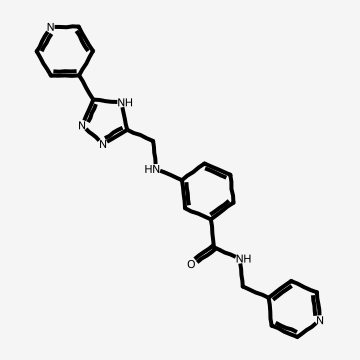 O=C(NCc1ccncc1)c1cccc(NCc2nnc(-c3ccncc3)[nH]2)c1